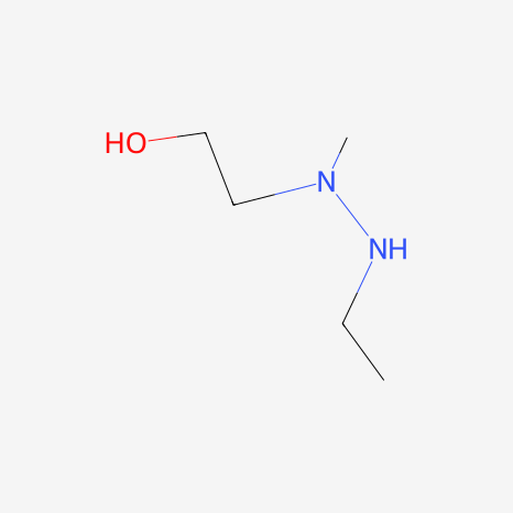 CCNN(C)CCO